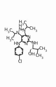 CC(C)[C@H](CO)Nc1nc(Nc2ccc(Cl)cc2)c2c(n1)N(C(C)C)NN2C(C)C